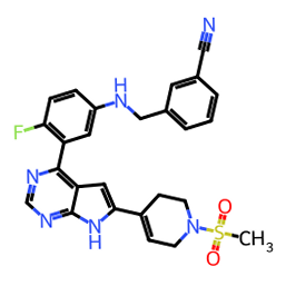 CS(=O)(=O)N1CC=C(c2cc3c(-c4cc(NCc5cccc(C#N)c5)ccc4F)ncnc3[nH]2)CC1